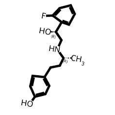 C[C@H](CCc1ccc(O)cc1)NC[C@H](O)c1ccccc1F